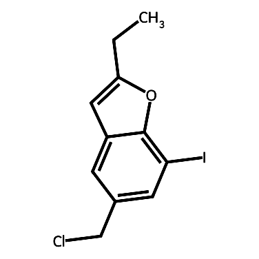 CCc1cc2cc(CCl)cc(I)c2o1